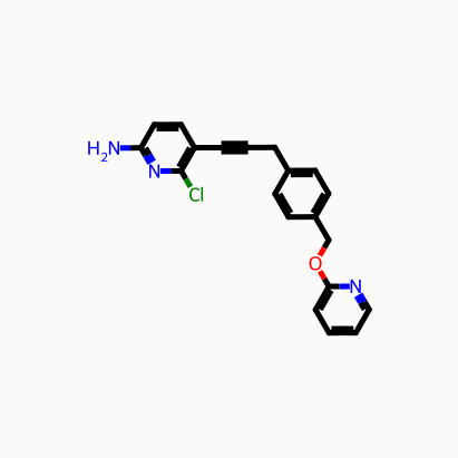 Nc1ccc(C#CCc2ccc(COc3ccccn3)cc2)c(Cl)n1